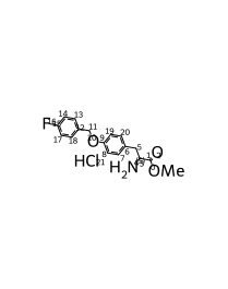 COC(=O)[C@@H](N)Cc1ccc(OCc2ccc(F)cc2)cc1.Cl